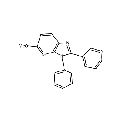 COc1ccc2nc(-c3cccnc3)n(-c3ccccc3)c2n1